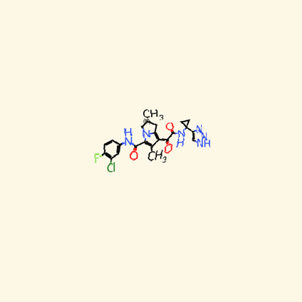 Cc1c(C(=O)C(=O)NC2(c3c[nH]nn3)CC2)c2n(c1C(=O)Nc1ccc(F)c(Cl)c1)C[C@H](C)C2